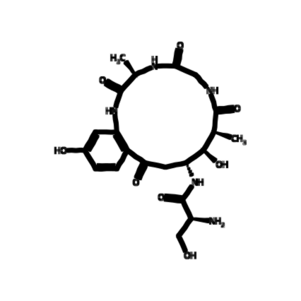 C[C@@H]1C(=O)NCC(=O)N[C@H](C)C(=O)Nc2cc(O)ccc2C(=O)C[C@@H](NC(=O)[C@@H](N)CO)[C@@H]1O